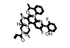 C=CC(=O)N1C[C@@H]2CN(C)c3c(c4cc(F)c(-c5c(O)cccc5F)nc4n(-c4ccccc4C(C)C)c3=O)N2C[C@H]1C